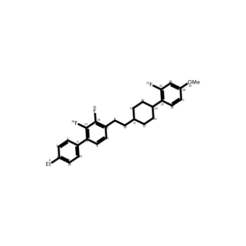 CCc1ccc(-c2ccc(CCC3CCC(c4ccc(OC)cc4F)CC3)c(F)c2F)cc1